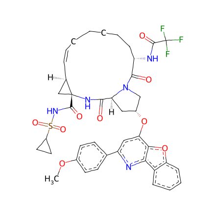 COc1ccc(-c2cc(O[C@@H]3C[C@H]4C(=O)N[C@]5(C(=O)NS(=O)(=O)C6CC6)C[C@H]5/C=C\CCCCC[C@H](NC(=O)C(F)(F)F)C(=O)N4C3)c3oc4ccccc4c3n2)cc1